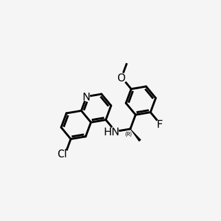 COc1ccc(F)c([C@@H](C)Nc2ccnc3ccc(Cl)cc23)c1